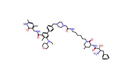 CCN(c1cc(-c2ccc(CN3CCN(CC(=O)NCCCCCCN4CC(C)C[C@H](NC(=O)[C@@H](O)C(N)Cc5ccccc5)C4=O)CC3)cc2)cc(C(=O)NCc2c(C)cc(C)[nH]c2=O)c1C)C1CCOCC1